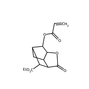 C=CC(=O)OC1C2CC3C1OC(=O)C3C2C(=O)OCC